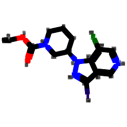 CC(C)(C)OC(=O)N1CCC[C@@H](n2nc(I)c3cncc(F)c32)C1